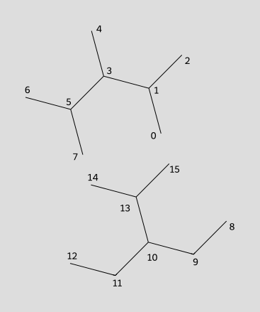 CC(C)C(C)C(C)C.CCC(CC)C(C)C